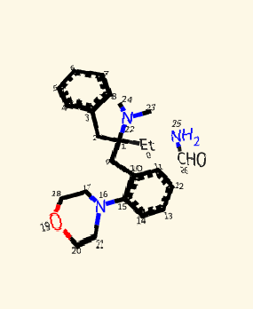 CCC(Cc1ccccc1)(Cc1ccccc1N1CCOCC1)N(C)C.NC=O